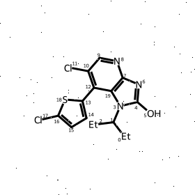 CCC(CC)n1c(O)nc2ncc(Cl)c(-c3ccc(Cl)s3)c21